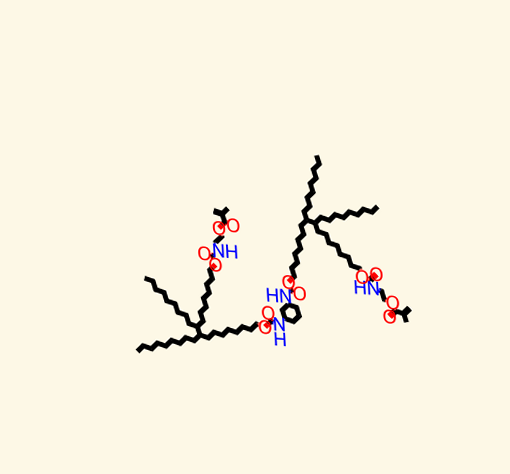 C=C(C)C(=O)OCCNC(=O)OCCCCCCCCC(CCCCCCCCC)C(CCCCCCCCC)CCCCCCCCOC(=O)NC1CCCC(NC(=O)OCCCCCCCCC(CCCCCCCCC)C(CCCCCCCCC)CCCCCCCCOC(=O)NCCOC(=O)C(=C)C)C1